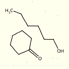 CCCCCCO.O=C1CCCCC1